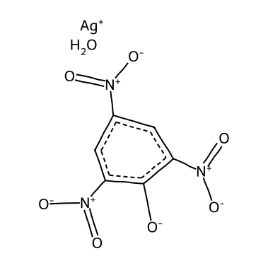 O.O=[N+]([O-])c1cc([N+](=O)[O-])c([O-])c([N+](=O)[O-])c1.[Ag+]